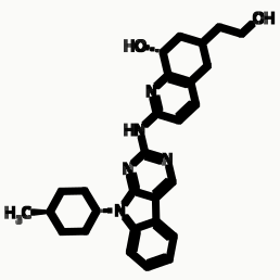 C[C@H]1CC[C@H](n2c3ccccc3c3cnc(Nc4ccc5c(n4)[C@H](O)CC(CCO)C5)nc32)CC1